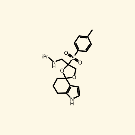 Cc1ccc(S(=O)(=O)C2(CNC(C)C)COC3(CCCc4[nH]ccc43)O2)cc1